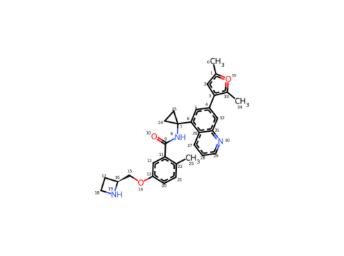 Cc1cc(-c2cc(C3(NC(=O)c4cc(OC[C@@H]5CCN5)ccc4C)CC3)c3cccnc3c2)c(C)o1